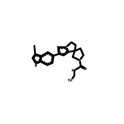 Cc1c[nH]c2ncc(-c3cc4n(n3)CCC43CCN(C(=O)NCC(F)(F)F)C3)cc12